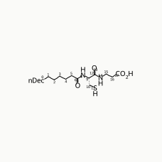 CCCCCCCCCCCCCCCC(=O)N[C@@H](CS)C(=O)NCCC(=O)O